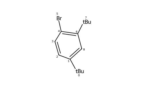 CC(C)(C)c1ccc(Br)c(C(C)(C)C)c1